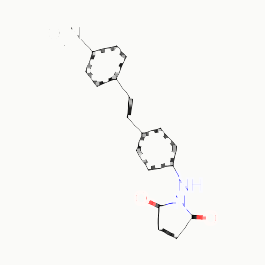 O=C1C=CC(=O)N1Nc1ccc(C=Cc2ccc([N+](=O)[O-])cc2)cc1